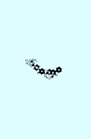 CCn1c(=O)c(-c2ccccc2)cc2cnc(Nc3ccc(N4CCN(C(=O)OC(C)(C)C)CC4)c(F)c3)nc21